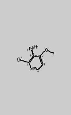 COc1cccc(Cl)c1[NH]